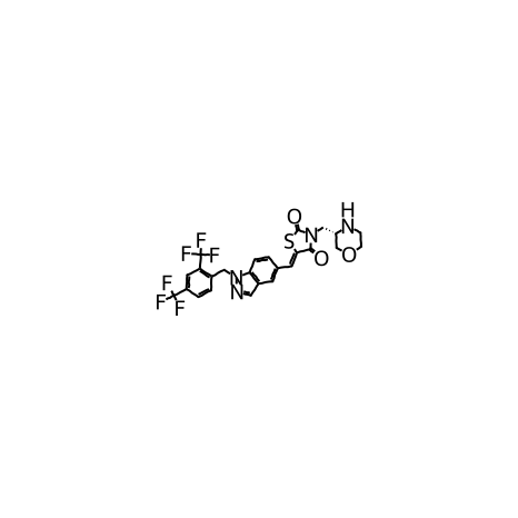 O=C1S/C(=C\c2ccc3c(cnn3Cc3ccc(C(F)(F)F)cc3C(F)(F)F)c2)C(=O)N1C[C@H]1COCCN1